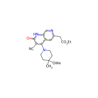 CCOC(=O)Cc1cc2c(N3CCC(C)(OC)CC3)c(C#N)c(=O)[nH]c2cn1